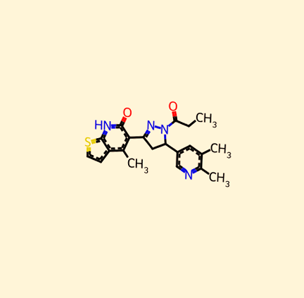 CCC(=O)N1N=C(c2c(C)c3ccsc3[nH]c2=O)CC1c1cnc(C)c(C)c1